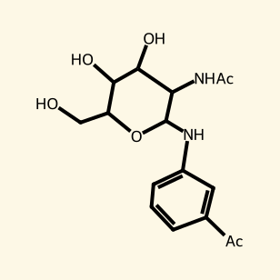 CC(=O)NC1C(Nc2cccc(C(C)=O)c2)OC(CO)C(O)C1O